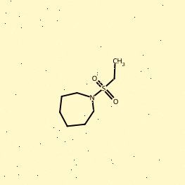 CCS(=O)(=O)N1CCCCCC1